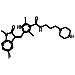 Cc1[nH]c(C=C2C(=O)N(C)c3ccc(F)cc32)c(C)c1C(=O)NCCCN1CCNCC1